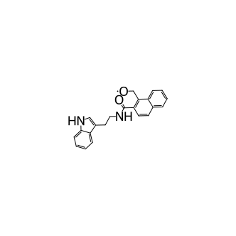 [O]Cc1c(C(=O)NCCc2c[nH]c3ccccc23)ccc2ccccc12